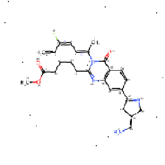 C=C/C(F)=C\C=C(/C)n1c(CCCCC(=O)OC)nc2cc(C3=NCC(CN)C3)ccc2c1=O